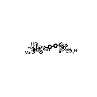 COC(=O)NC(C(=O)N1CCC[C@H]1c1ncc(-c2ccc(-c3ccc(-c4cnc([N+]5(C(=O)[C@@H](NC(=O)O)C(C)C)CCCC5)[nH]4)cc3)cc2)[nH]1)[C@H](C)CO